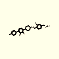 CCOCc1ccc(COC2CCC(c3ccc(-c4ccc(C)cc4)c(F)c3F)CC2)c(F)c1